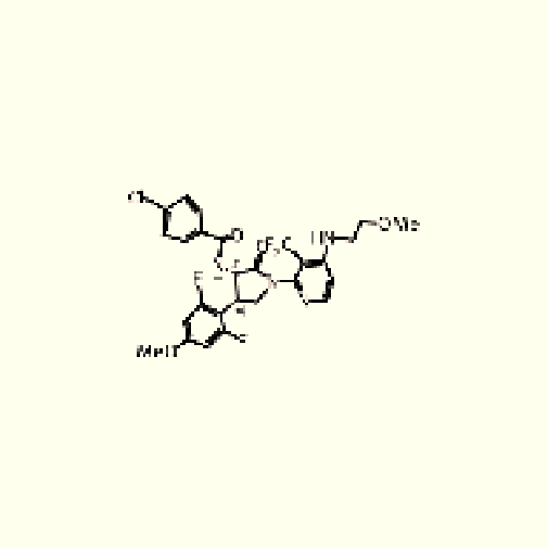 COCCNc1ccnc(N2C[C@@H](c3c(F)cc(OC)cc3F)[C@H](NC(=O)c3ccc(Cl)cc3)C2=O)c1C(F)(F)F